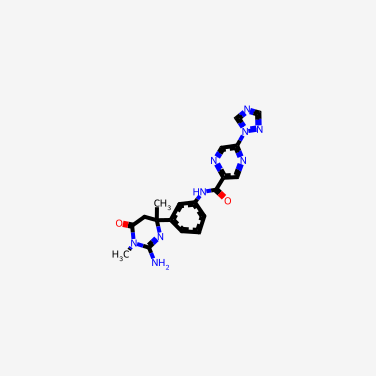 CN1C(=O)CC(C)(c2cccc(NC(=O)c3cnc(-n4cncn4)cn3)c2)N=C1N